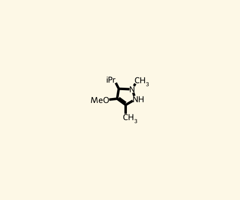 COC1=C(C)NN(C)C1C(C)C